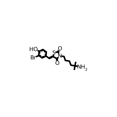 CC(C)(N)CCCCN1C(=O)S/C(=C\c2ccc(O)c(Br)c2)C1=O